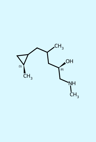 CNC[C@H](O)CC(C)CC1C[C@@H]1C